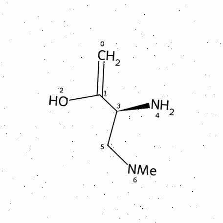 C=C(O)[C@@H](N)CNC